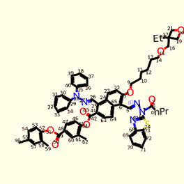 CCCC(=O)N(/N=C/c1c(OCCCCCCOCC2(CC)COC2)ccc2c(/C=N/N(c3ccccc3)c3ccccc3)c(C(=O)Oc3ccc(C(=O)Oc4ccc(C)cc4C)cc3C)ccc12)c1nc2ccccc2s1